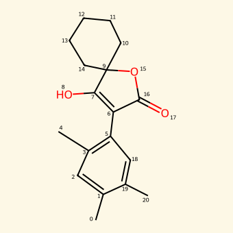 Cc1cc(C)c(C2=C(O)C3(CCCCC3)OC2=O)cc1C